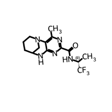 Cc1nc(C(=O)N[C@H](C)C(F)(F)F)nc2c1N1CCCC(C1)N2